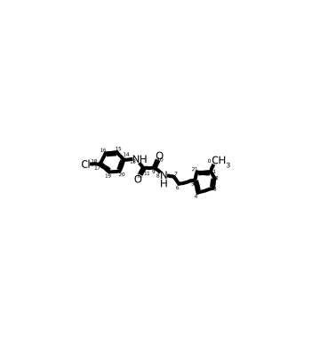 Cc1cccc(CCNC(=O)C(=O)Nc2ccc(Cl)cc2)c1